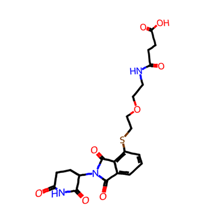 O=C(O)CCC(=O)NCCOCCSc1cccc2c1C(=O)N(C1CCC(=O)NC1=O)C2=O